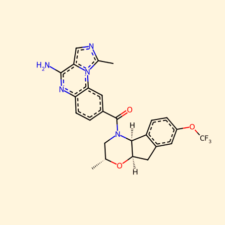 Cc1ncc2c(N)nc3ccc(C(=O)N4C[C@@H](C)O[C@@H]5Cc6cc(OC(F)(F)F)ccc6[C@@H]54)cc3n12